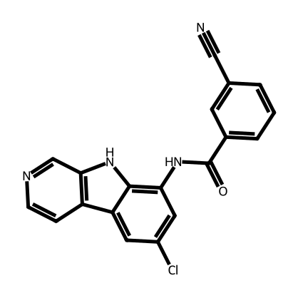 N#Cc1cccc(C(=O)Nc2cc(Cl)cc3c2[nH]c2cnccc23)c1